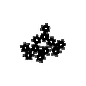 c1ccc(-c2cc(-c3cccc(-c4cc(-n5c6ccccc6c6ccccc65)cc(-n5c6ccccc6c6ccccc65)c4)c3)cc(-c3ccc(-n4c5ccccc5c5ccccc54)cc3)n2)cc1